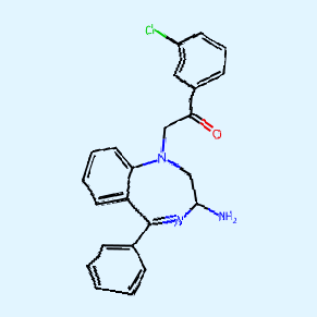 NC1CN(CC(=O)c2cccc(Cl)c2)c2ccccc2C(c2ccccc2)=N1